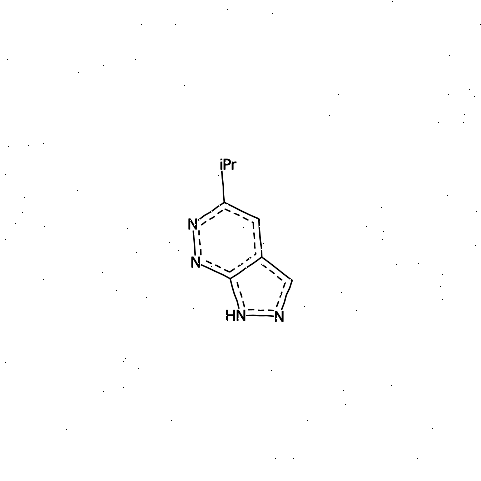 CC(C)c1cc2cn[nH]c2nn1